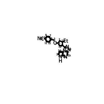 CCC1CC(OCc2ccc(C#N)cc2)CC1c1nnc2cnc3[nH]ccc3n12